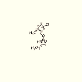 CCC1COB(OCc2cc(Cl)ccc2C)N1